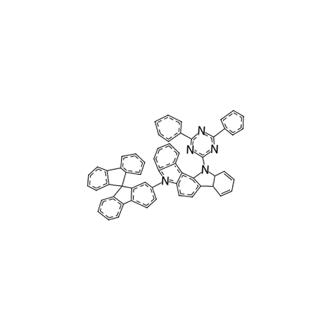 C1=CC2c3ccc4c(c3N(c3nc(-c5ccccc5)nc(-c5ccccc5)n3)C2C=C1)c1ccccc1n4-c1ccc2c(c1)C1(c3ccccc3-c3ccccc31)c1ccccc1-2